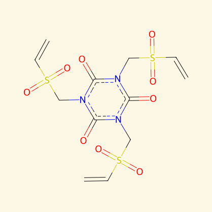 C=CS(=O)(=O)Cn1c(=O)n(CS(=O)(=O)C=C)c(=O)n(CS(=O)(=O)C=C)c1=O